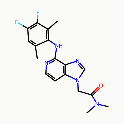 Cc1cc(F)c(F)c(C)c1Nc1nccc2c1ncn2CC(=O)N(C)C